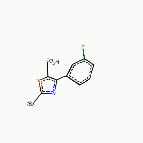 CC(C)(C)c1nc(-c2cccc(F)c2)c(C(=O)O)s1